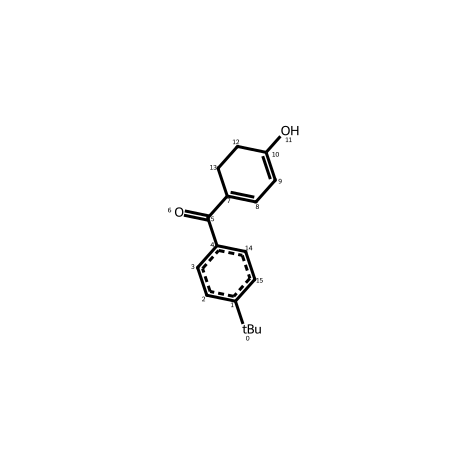 CC(C)(C)c1ccc(C(=O)C2=CC=C(O)CC2)cc1